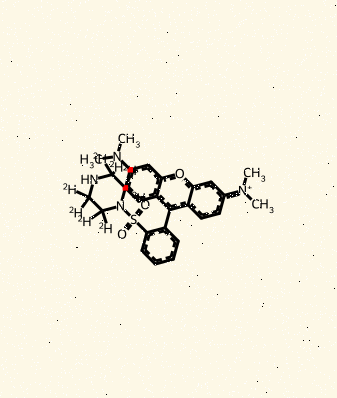 [2H]C1([2H])NC([2H])([2H])C([2H])([2H])N(S(=O)(=O)c2ccccc2-c2c3ccc(=[N+](C)C)cc-3oc3cc(N(C)C)ccc23)C1([2H])[2H]